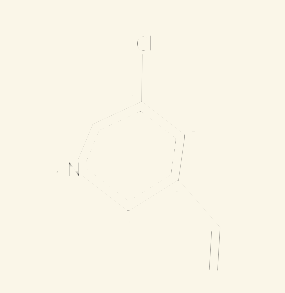 C=Cc1cncc(Cl)c1